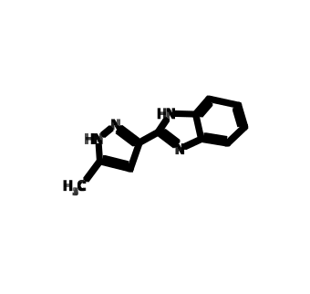 Cc1cc(-c2nc3ccccc3[nH]2)n[nH]1